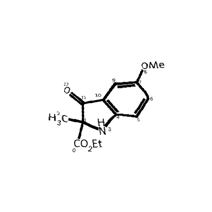 CCOC(=O)C1(C)Nc2ccc(OC)cc2C1=O